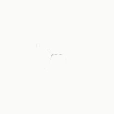 C=C(C)C.[Pd]